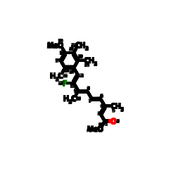 COC(=O)C=C(C)C=CC=C(C)C(F)=Cc1c(C)cc(OC)c(C)c1C